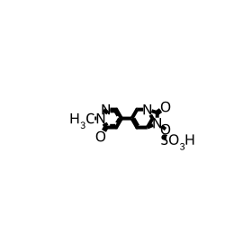 Cn1ncc(C2=CC3CN(C2)C(=O)N3OS(=O)(=O)O)cc1=O